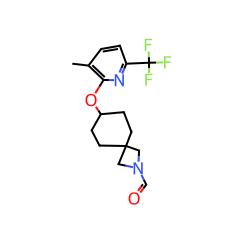 Cc1ccc(C(F)(F)F)nc1OC1CCC2(CC1)CN(C=O)C2